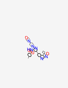 Cc1ccc(S(=O)(=O)Nc2cc(-c3ccc4ncc5c(c4c3)C3(CCC3)C(=O)N5C)cnc2N2CCC(N3CCOCC3)CC2)cc1